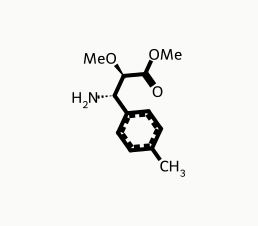 COC(=O)[C@H](OC)[C@@H](N)c1ccc(C)cc1